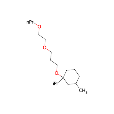 CCCOCCOCCCOC1(C(C)C)CCCC(C)C1